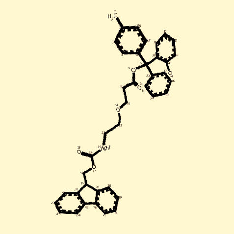 Cc1ccc(C(OC(=O)CCOCCNC(=O)OCC2c3ccccc3-c3ccccc32)(c2ccccc2)c2ccccc2Cl)cc1